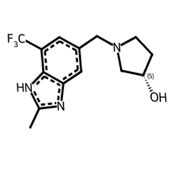 Cc1nc2cc(CN3CC[C@H](O)C3)cc(C(F)(F)F)c2[nH]1